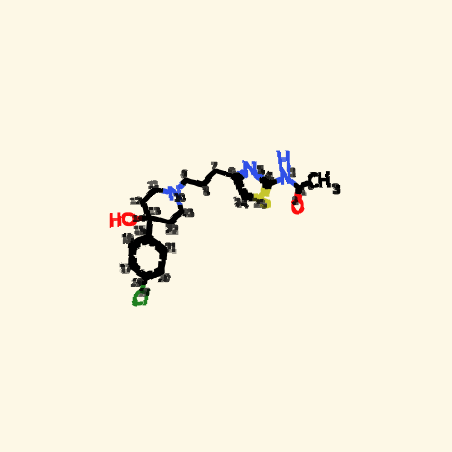 CC(=O)Nc1nc(CCCN2CCC(O)(c3ccc(Cl)cc3)CC2)cs1